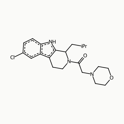 CC(C)CC1c2[nH]c3ccc(Cl)cc3c2CCN1C(=O)CN1CCOCC1